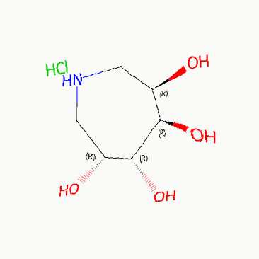 Cl.O[C@H]1[C@H](O)[C@H](O)CNC[C@H]1O